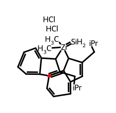 CC(C)CC1=Cc2ccccc2[CH]1[Zr]([CH3])([CH3])(=[SiH2])[CH]1C(CC(C)C)=Cc2ccccc21.Cl.Cl